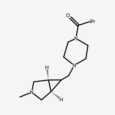 CC(C)C(=O)N1CCN(CC2[C@H]3CN(C)C[C@@H]23)CC1